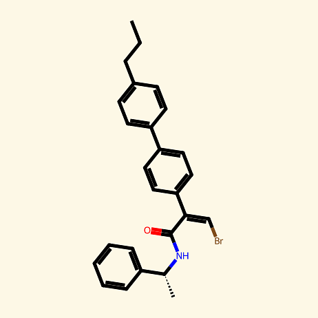 CCCc1ccc(-c2ccc(C(=CBr)C(=O)N[C@H](C)c3ccccc3)cc2)cc1